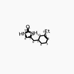 CCC1=CCCC(Cc2c[nH]c(=O)[nH]2)C1